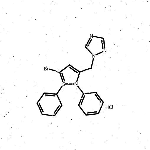 BrC1=S(c2ccccc2)N(c2ccccc2)C(Cn2cncn2)=C1.Cl